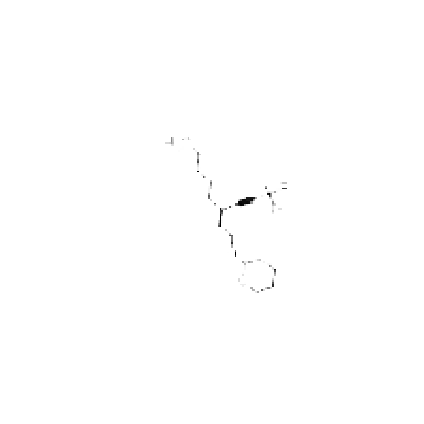 CCCCCC(C#CC(F)(F)Br)CCOC1CCCCO1